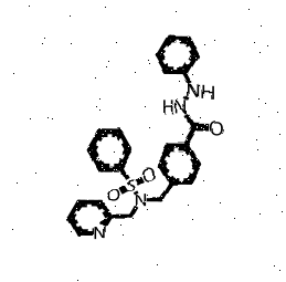 O=C(NNc1ccccc1)c1ccc(CN(Cc2ccccn2)S(=O)(=O)c2ccccc2)cc1